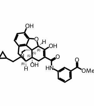 COC(=O)c1cccc(NC(=O)C2=C(O)[C@@H]3Oc4c(O)ccc5c4[C@@]34CCN(CC3CC3)[C@H](C5)[C@]4(O)C2)c1